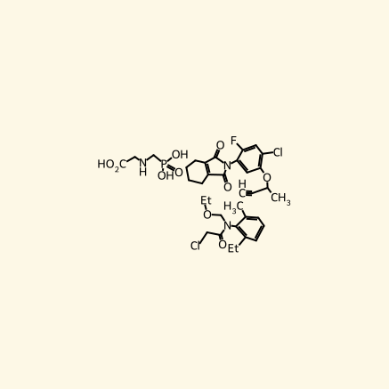 C#CC(C)Oc1cc(N2C(=O)C3=C(CCCC3)C2=O)c(F)cc1Cl.CCOCN(C(=O)CCl)c1c(C)cccc1CC.O=C(O)CNCP(=O)(O)O